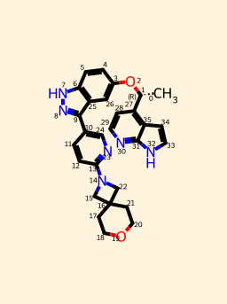 C[C@@H](Oc1ccc2[nH]nc(-c3ccc(N4CC5(CCOCC5)C4)nc3)c2c1)c1ccnc2[nH]ccc12